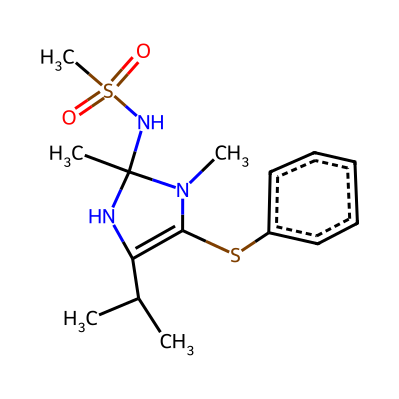 CC(C)C1=C(Sc2ccccc2)N(C)C(C)(NS(C)(=O)=O)N1